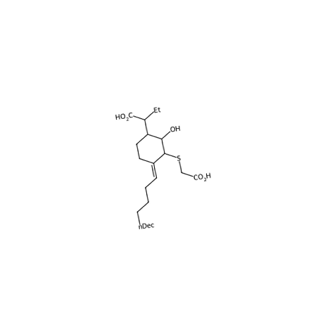 CCCCCCCCCCCCCC=C1CCC(C(CC)C(=O)O)C(O)C1SCC(=O)O